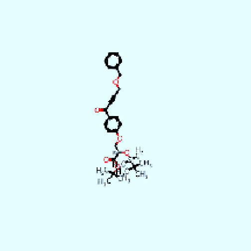 CC(C)(C)OC(=O)[C@@H](COc1ccc(C(=O)C#CCOCc2ccccc2)cc1)O[Si](C)(C)C(C)(C)C